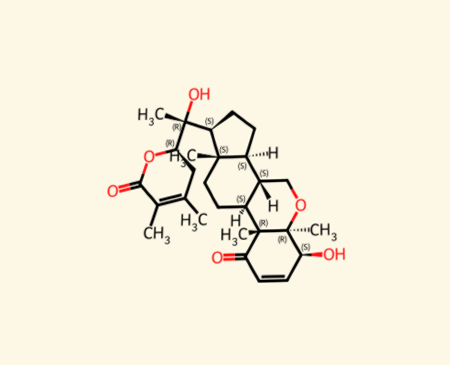 CC1=C(C)C(=O)O[C@@H]([C@](C)(O)[C@H]2CC[C@H]3[C@@H]4CO[C@@]5(C)[C@@H](O)C=CC(=O)[C@]5(C)[C@H]4CC[C@]23C)C1